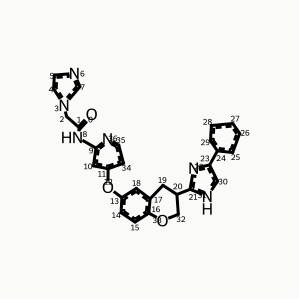 O=C(Cn1ccnc1)Nc1cc(Oc2ccc3c(c2)CC(c2nc(-c4ccccc4)c[nH]2)CO3)ccn1